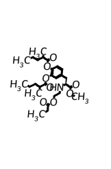 CCCC(C)C(=O)Oc1ccc(C[C@H](NCCOC(=O)CC)C(=O)OC)cc1OC(=O)C(C)CCC